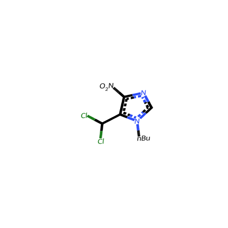 CCCCn1cnc([N+](=O)[O-])c1C(Cl)Cl